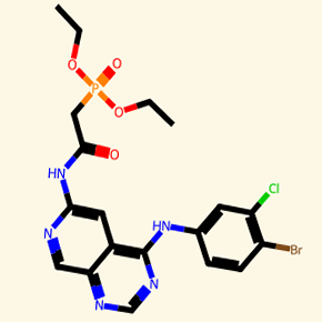 CCOP(=O)(CC(=O)Nc1cc2c(Nc3ccc(Br)c(Cl)c3)ncnc2cn1)OCC